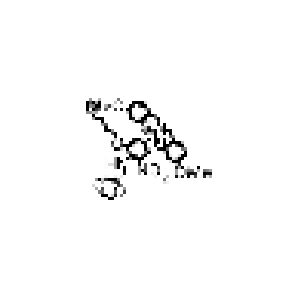 COc1ccc(CN(Cc2ccc(OC)cc2)S(=O)(=O)c2cc(OCCCCBr)c(NC[C@H]3COCCO3)c([N+](=O)[O-])c2)cc1